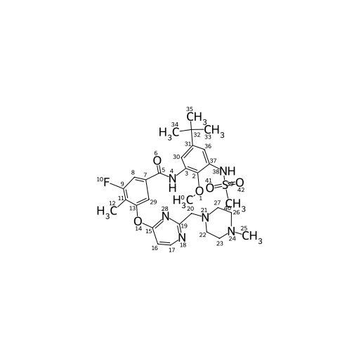 COc1c(NC(=O)c2cc(F)c(C)c(Oc3ccnc(CN4CCN(C)CC4)n3)c2)cc(C(C)(C)C)cc1NS(C)(=O)=O